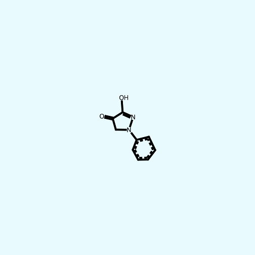 O=C1CN(c2ccccc2)N=C1O